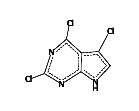 Clc1nc(Cl)c2c(Cl)c[nH]c2n1